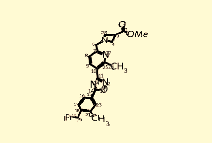 COC(=O)C1CN(Cc2ccc(-c3noc(-c4ccc(CC(C)C)c(C)c4)n3)c(C)n2)C1